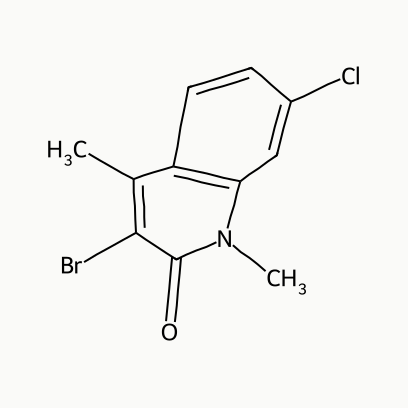 Cc1c(Br)c(=O)n(C)c2cc(Cl)ccc12